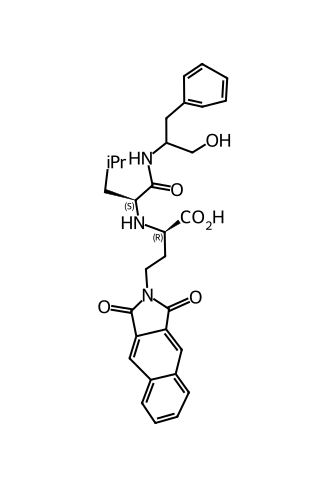 CC(C)C[C@H](N[C@H](CCN1C(=O)c2cc3ccccc3cc2C1=O)C(=O)O)C(=O)NC(CO)Cc1ccccc1